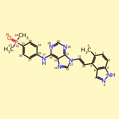 Cc1ccc2[nH]ncc2c1C=Cn1cnc2c(Nc3ccc(P(C)(C)=O)cc3)ncnc21